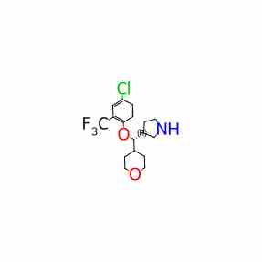 FC(F)(F)c1cc(Cl)ccc1OC(C1CCOCC1)[C@@H]1CCNC1